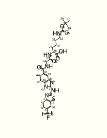 Cn1c(Nc2nc3ccc(C(F)(F)F)cc3s2)nc2cc(C(=O)NCC(=O)N[C@@H](CCCCNC(=O)OC(C)(C)C)C(=O)O)ccc21